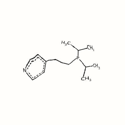 CC(C)P(CCc1ccncc1)C(C)C